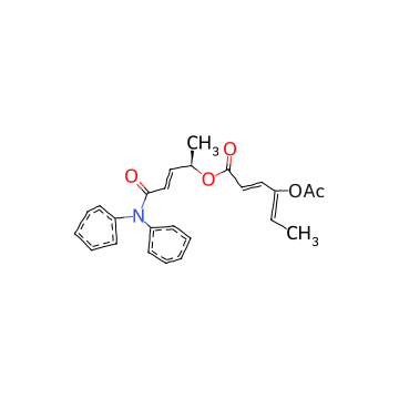 CC=C(C=CC(=O)O[C@H](C)C=CC(=O)N(c1ccccc1)c1ccccc1)OC(C)=O